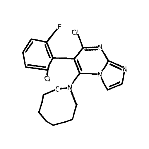 Fc1cccc(Cl)c1-c1c(Cl)nc2nccn2c1N1CCCCCC1